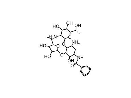 CCC1OC(OC2C(O)C(NC(=O)c3ccccc3)CC(N)C2OC2OC([C@@H](C)O)C(O)C(O)C2N)C(O)C1O